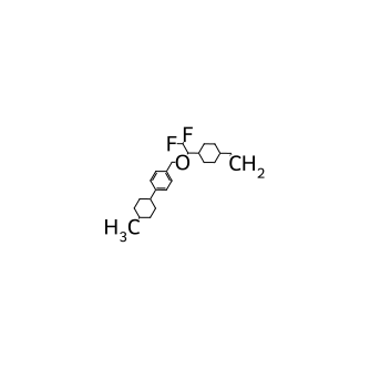 C=CC1CCC(C(OCc2ccc(C3CCC(C)CC3)cc2)C(F)F)CC1